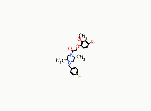 COc1cc(Br)ccc1OCC(=O)N1C[C@H](C)N(Cc2ccc(F)cc2)C[C@H]1C